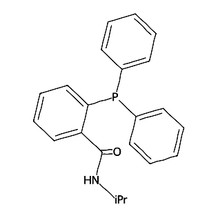 CC(C)NC(=O)c1ccccc1P(c1ccccc1)c1ccccc1